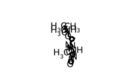 COc1cnc(-c2cccc(OCC(=O)NC(C)(C)C)c2)nc1Nc1ccc(N2CCOCC2)nc1